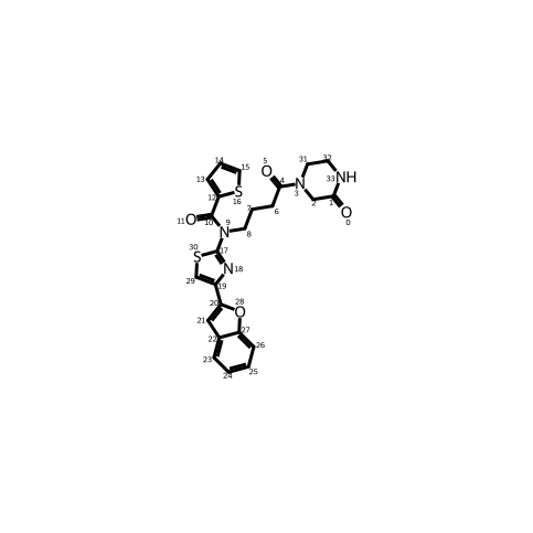 O=C1CN(C(=O)CCCN(C(=O)c2cccs2)c2nc(-c3cc4ccccc4o3)cs2)CCN1